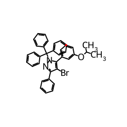 CC(C)Oc1cccc(-c2c(Br)c(-c3ccccc3)nn2C(c2ccccc2)(c2ccccc2)c2ccccc2)c1